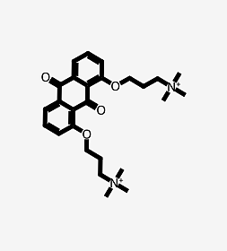 C[N+](C)(C)CCCOc1cccc2c1C(=O)c1c(OCCC[N+](C)(C)C)cccc1C2=O